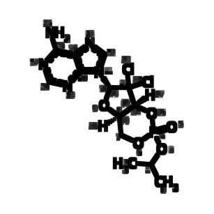 CC(C)OP1(=O)OC[C@H]2O[C@@H](n3cnc4c(N)ncnc43)C(Cl)(Cl)[C@@H]2O1